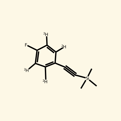 [2H]c1c([2H])c(C#C[Si](C)(C)C)c([2H])c([2H])c1F